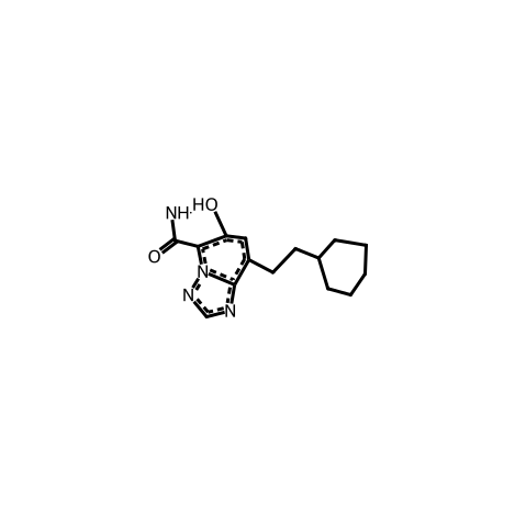 [NH]C(=O)c1c(O)cc(CCC2CCCCC2)c2ncnn12